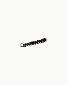 CCOCCOCCOCCOCCOC1CCCC2C(OCCOCCOCCOCCOCC3=CSC(=C4SC=CS4)S3)CCCC12